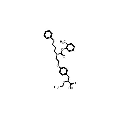 CCOC(Cc1ccc(OCCN(CCCSc2ccccc2)C(=O)Oc2ccccc2C)cc1)C(=O)O